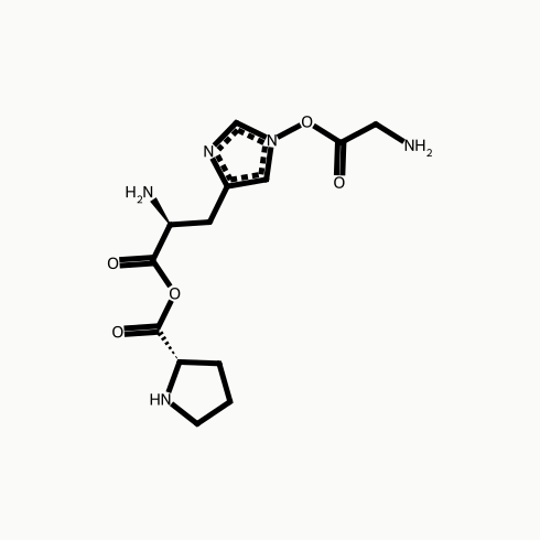 NCC(=O)On1cnc(C[C@H](N)C(=O)OC(=O)[C@@H]2CCCN2)c1